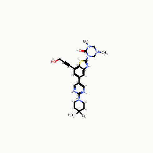 CCN1CN(C)CN(c2nc3cc(-c4cnc(N5CCC(CC)(C(=O)O)CC5)nc4)cc(C#CCO)c3s2)C1=O